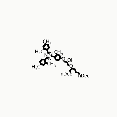 CCCCCCCCCCCCCC(CCCCCCCCCCC)OCC(O)COc1ccc(-c2nc(-c3ccc(C)cc3C)nc(-c3ccc(C)cc3C)n2)c(C)c1